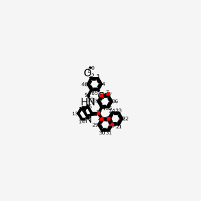 COc1ccc(OC)c(CNC2C3CCN(C(CCc4ccccc4)C3)C2C(c2ccccc2)c2ccccc2)c1